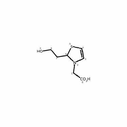 O=C(O)CN1C=CSC1CCO